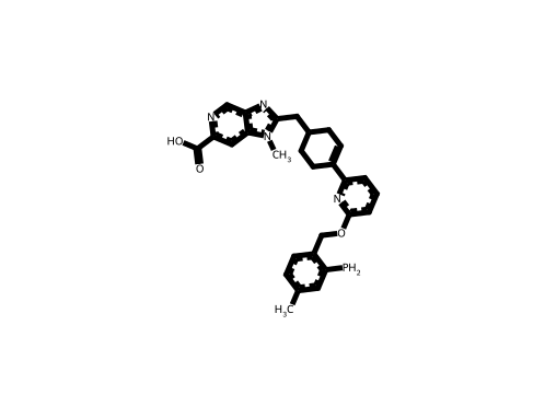 Cc1ccc(COc2cccc(C3=CCC(Cc4nc5cnc(C(=O)O)cc5n4C)CC3)n2)c(P)c1